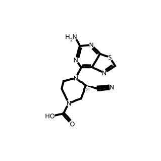 N#C[C@H]1CN(C(=O)O)CCN1c1nc(N)nc2scnc12